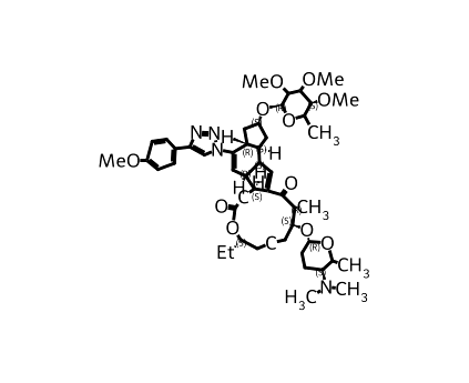 CC[C@H]1CCC[C@H](O[C@H]2CC[C@H](N(C)C)C(C)O2)[C@@H](C)C(=O)C2=C[C@@H]3[C@@H](C=C(n4cc(-c5ccc(OC)cc5)nn4)[C@@H]4C[C@@H](O[C@@H]5OC(C)[C@H](OC)C(OC)C5OC)C[C@@H]34)[C@@H]2CC(=O)O1